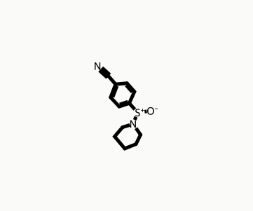 N#Cc1ccc([S+]([O-])N2CCCCC2)cc1